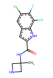 CC1(NC(=O)c2cc3cc(Cl)c(F)c(F)c3[nH]2)CNC1